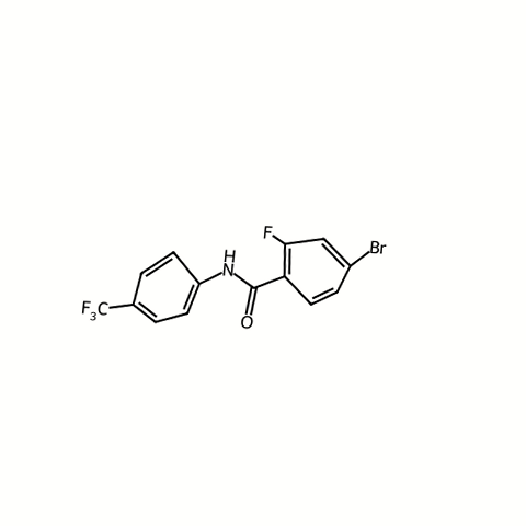 O=C(Nc1ccc(C(F)(F)F)cc1)c1ccc(Br)cc1F